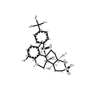 O=S1(=O)CC[C@@H]2[C@@H](CC[C@@]3(S(=O)(=O)c4ccc(C(F)(F)F)cc4)c4c(F)ccc(F)c4OC[C@@H]23)N1